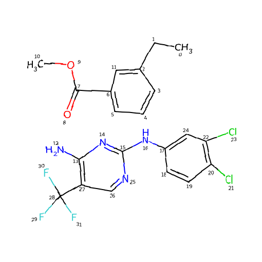 CCc1cccc(C(=O)OC)c1.Nc1nc(Nc2ccc(Cl)c(Cl)c2)ncc1C(F)(F)F